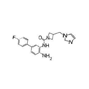 Nc1ccc(-c2ccc(F)cc2)cc1NC(=O)N1CC(Cn2ccnc2)C1